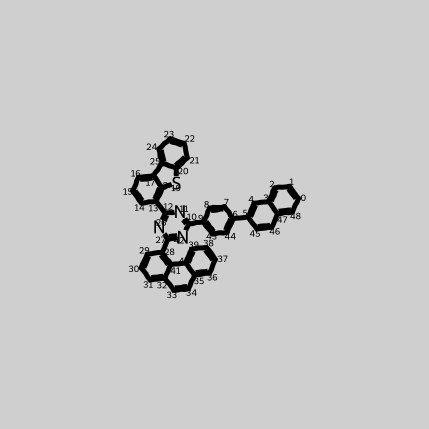 c1ccc2cc(-c3ccc(-c4nc(-c5cccc6c5sc5ccccc56)nc(-c5cccc6ccc7ccccc7c56)n4)cc3)ccc2c1